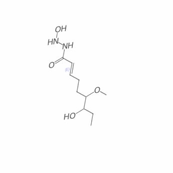 CCC(O)C(CC/C=C/C(=O)NNO)OC